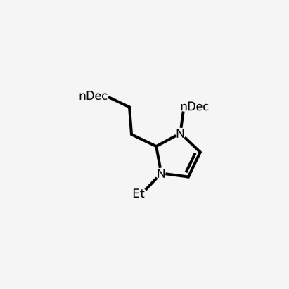 CCCCCCCCCCCCC1N(CC)C=CN1CCCCCCCCCC